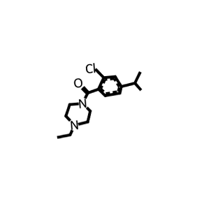 CCN1CCN(C(=O)c2ccc(C(C)C)cc2Cl)CC1